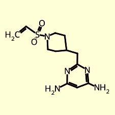 C=CS(=O)(=O)N1CCC(Cc2nc(N)cc(N)n2)CC1